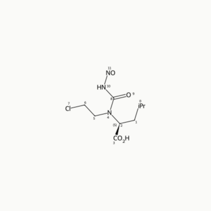 CC(C)C[C@@H](C(=O)O)N(CCCl)C(=O)NN=O